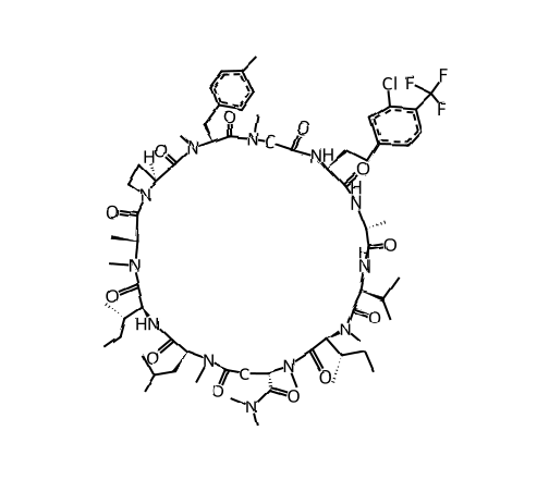 CC[C@H](C)[C@@H]1NC(=O)[C@H](CC(C)C)N(C)C(=O)C[C@@H](C(=O)N(C)C)N(C)C(=O)[C@H]([C@@H](C)CC)N(C)C(=O)[C@H](C(C)C)NC(=O)[C@@H](C)NC(=O)[C@H](CCc2ccc(C(F)(F)F)c(Cl)c2)NC(=O)CN(C)C(=O)[C@H](Cc2ccc(C)cc2)N(C)C(=O)[C@@H]2CCN2C(=O)[C@H](C)N(C)C1=O